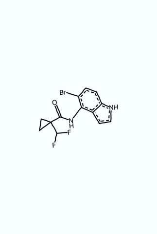 O=C(Nc1c(Br)ccc2[nH]ccc12)C1(C(F)F)CC1